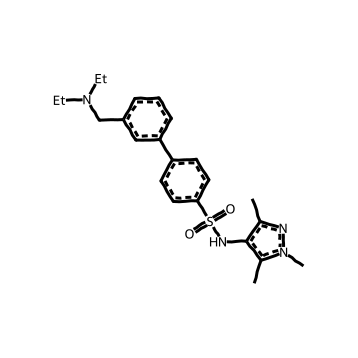 CCN(CC)Cc1cccc(-c2ccc(S(=O)(=O)Nc3c(C)nn(C)c3C)cc2)c1